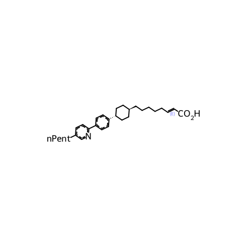 CCCCCc1ccc(-c2ccc([C@H]3CC[C@H](CCCCC/C=C/C(=O)O)CC3)cc2)nc1